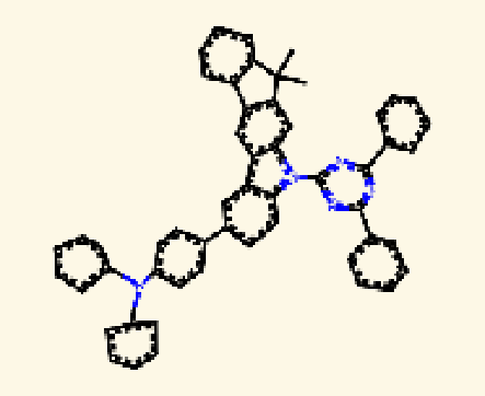 CC1(C)c2ccccc2-c2cc3c4cc(-c5ccc(N(c6ccccc6)c6ccccc6)cc5)ccc4n(-c4nc(-c5ccccc5)nc(-c5ccccc5)n4)c3cc21